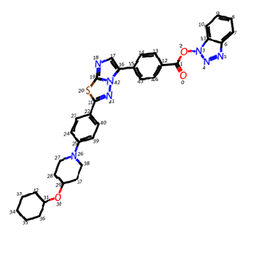 O=C(On1nnc2ccccc21)c1ccc(-c2cnc3sc(-c4ccc(N5CCC(OC6CCCCC6)CC5)cc4)nn23)cc1